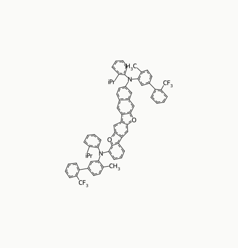 Cc1ccc(-c2ccccc2C(F)(F)F)cc1N(c1ccc2cc3c(cc2c1)oc1cc2c(cc13)oc1c(N(c3cc(-c4ccccc4C(F)(F)F)ccc3C)c3ccccc3C(C)C)cccc12)c1ccccc1C(C)C